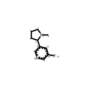 CN1CCCC1c1cncc(F)c1